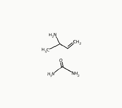 C=CC(C)N.NC(N)=O